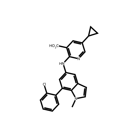 Cn1ccc2cc(Nc3ncc(C4CC4)cc3C(=O)O)cc(-c3ccccc3Cl)c21